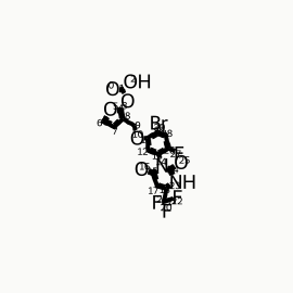 O=C(O)Oc1occc1COc1cc(-n2c(=O)cc(C(F)(F)F)[nH]c2=O)c(F)cc1Br